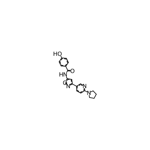 O=C(Nc1cc(-c2ccc(N3CCCC3)nc2)no1)c1ccc(O)cc1